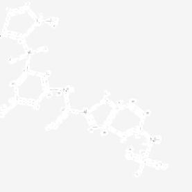 CCn1cccc1C(C)(C)c1cc(Cl)cc(NC(=O)c2cc3cc(NS(C)(=O)=O)ccc3s2)c1